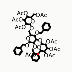 CC(=O)OCC1OC(OCC2OC(OCc3ccccc3)C(OCc3ccccc3)C(OC3OC(COC(C)=O)C(OC(C)=O)C(OC(C)=O)C3OC(C)=O)C2OCc2ccccc2)C(OC(C)=O)C(OC(C)=O)C1OC(C)=O